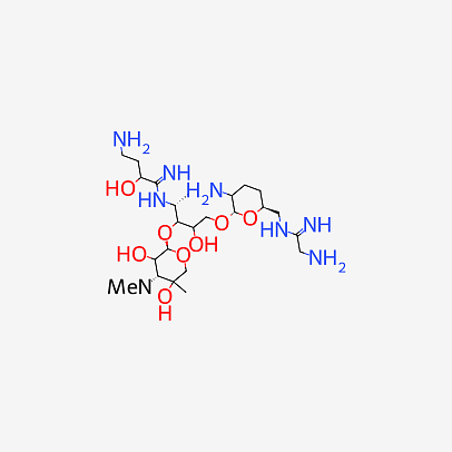 CN[C@@H]1C(O)[C@@H](OC(C(O)CO[C@H]2O[C@H](CNC(=N)CN)CCC2N)[C@@H](C)NC(=N)C(O)CCN)OCC1(C)O